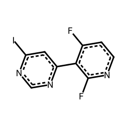 Fc1ccnc(F)c1-c1cc(I)ncn1